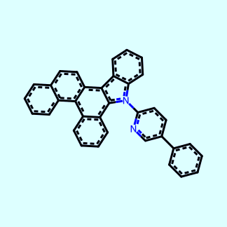 c1ccc(-c2ccc(-n3c4ccccc4c4c5ccc6ccccc6c5c5ccccc5c43)nc2)cc1